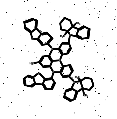 Cc1cc2c3c(c1)N(c1cccc4c1sc1ccccc14)c1cc(N4c5ccccc5C5(C)CCCCC45C)ccc1B3c1ccc(N3c4ccccc4C4(C)CCCCC34C)cc1N2c1ccc2c(c1)sc1ccccc12